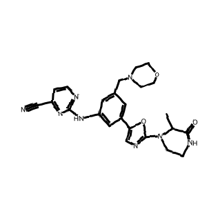 CC1C(=O)NCCN1c1ncc(-c2cc(CN3CCOCC3)cc(Nc3nccc(C#N)n3)c2)o1